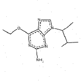 CCOc1nc(N)nc2c1ncn2C(C)C(C)C